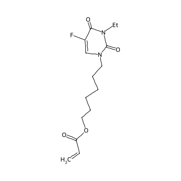 C=CC(=O)OCCCCCCn1cc(F)c(=O)n(CC)c1=O